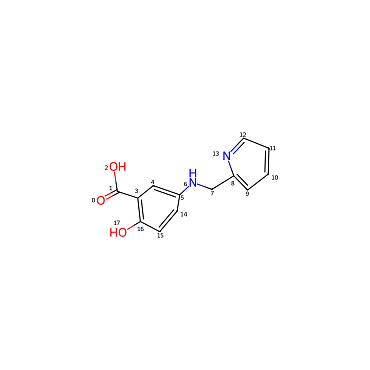 O=C(O)c1cc(NCc2ccccn2)ccc1O